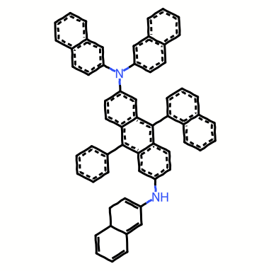 C1=CC2=CC(Nc3ccc4c(-c5cccc6ccccc56)c5cc(N(c6ccc7ccccc7c6)c6ccc7ccccc7c6)ccc5c(-c5ccccc5)c4c3)=CCC2C=C1